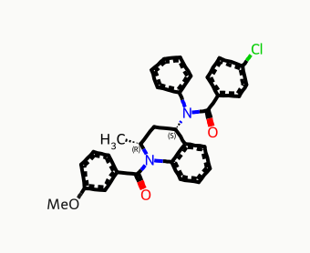 COc1cccc(C(=O)N2c3ccccc3[C@@H](N(C(=O)c3ccc(Cl)cc3)c3ccccc3)C[C@H]2C)c1